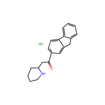 Cl.O=C(CC1CCCCN1)c1ccc2c(c1)Cc1ccccc1-2